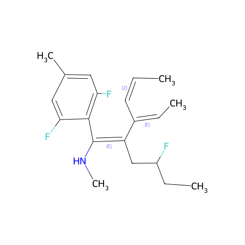 C\C=C/C(=C\C)C(/CC(F)CC)=C(/NC)c1c(F)cc(C)cc1F